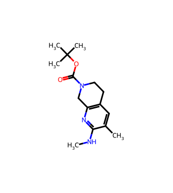 CNc1nc2c(cc1C)CCN(C(=O)OC(C)(C)C)C2